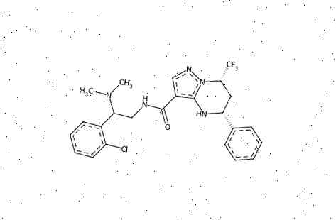 CN(C)C(CNC(=O)c1cnn2c1N[C@@H](c1ccccc1)C[C@H]2C(F)(F)F)c1ccccc1Cl